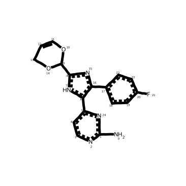 Nc1nccc(-c2[nH]c(C3OC=CCO3)nc2-c2ccc(F)cc2)n1